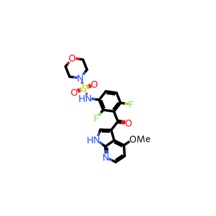 COc1ccnc2[nH]cc(C(=O)c3c(F)ccc(NS(=O)(=O)N4CCOCC4)c3F)c12